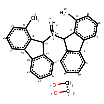 C[O-].C[O-].[CH2]=[Ti+2]([CH]1c2ccccc2-c2cccc(C)c21)[CH]1c2ccccc2-c2cccc(C)c21